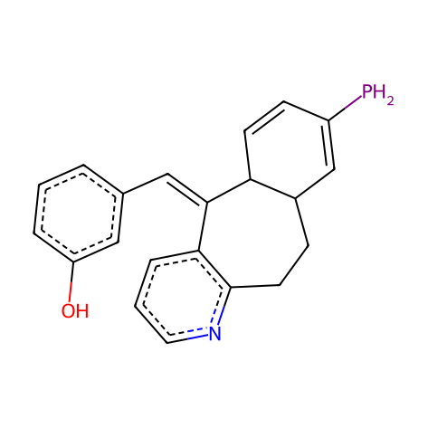 Oc1cccc(/C=C2\c3cccnc3CCC3C=C(P)C=CC23)c1